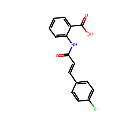 O=C(/C=C/c1ccc(Cl)cc1)Nc1ccccc1C(=O)O